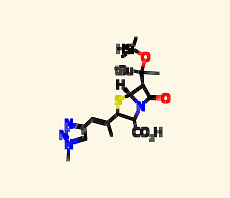 C/C(=C\c1cn(C)nn1)C1S[C@@H]2[C@@H](C(C)(O[SiH](C)C)C(C)(C)C)C(=O)N2C1C(=O)O